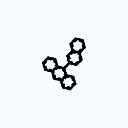 [c]1ccc2cc3ccccc3c(-c3ccc4ccccc4c3)c2c1